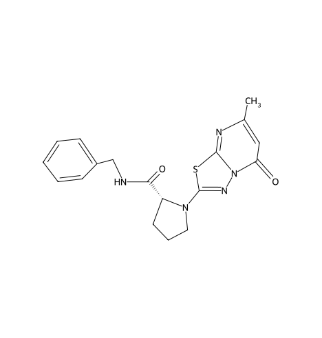 Cc1cc(=O)n2nc(N3CCC[C@@H]3C(=O)NCc3ccccc3)sc2n1